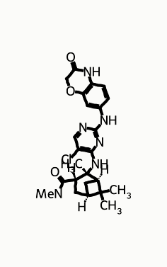 CNC(=O)[C@H]1C[C@H]2C[C@H](C2(C)C)[C@@]1(C)Nc1nc(Nc2ccc3c(c2)OCC(=O)N3)ncc1Cl